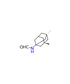 C[C@]12CC3CC(N[C]=O)(C1)C[C@@](C)(C3)C2